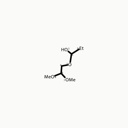 CCC(O)OCC(OC)OC